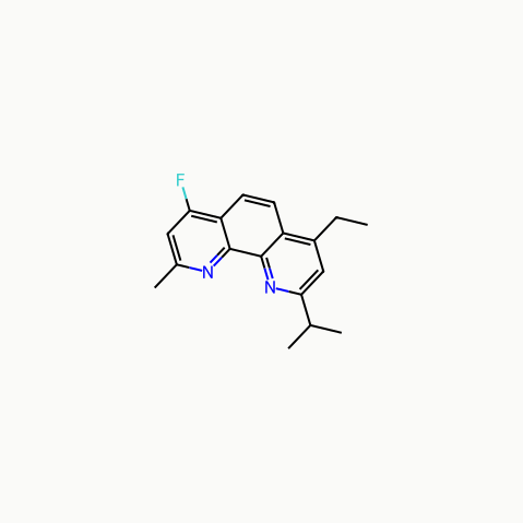 CCc1cc(C(C)C)nc2c1ccc1c(F)cc(C)nc12